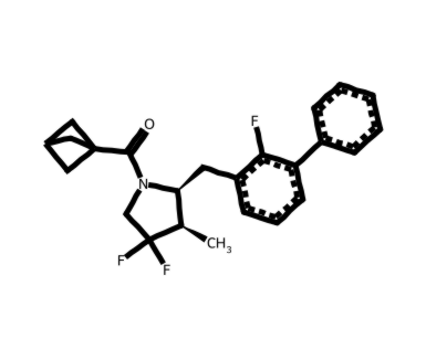 C[C@@H]1[C@H](Cc2cccc(-c3ccccc3)c2F)N(C(=O)C23CC(C2)C3)CC1(F)F